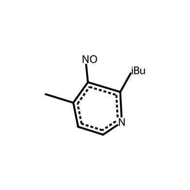 CCC(C)c1nccc(C)c1N=O